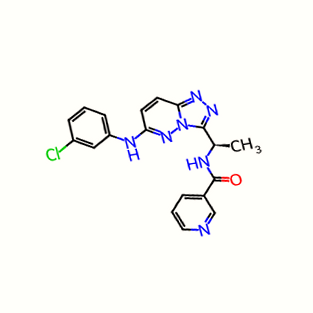 C[C@@H](NC(=O)c1cccnc1)c1nnc2ccc(Nc3cccc(Cl)c3)nn12